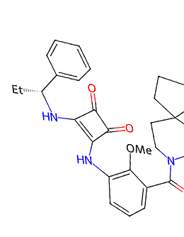 CC[C@@H](Nc1c(Nc2cccc(C(=O)N3CCC4(CCCC4)CC3)c2OC)c(=O)c1=O)c1ccccc1